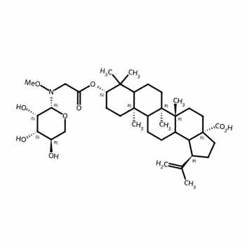 C=C(C)[C@@H]1CC[C@]2(C(=O)O)CC[C@]3(C)C(CCC4[C@@]5(C)CC[C@H](OC(=O)CN(OC)[C@@H]6OC[C@@H](O)[C@H](O)[C@@H]6O)C(C)(C)C5CC[C@]43C)C12